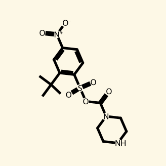 CC(C)(C)c1cc([N+](=O)[O-])ccc1S(=O)(=O)OC(=O)N1CCNCC1